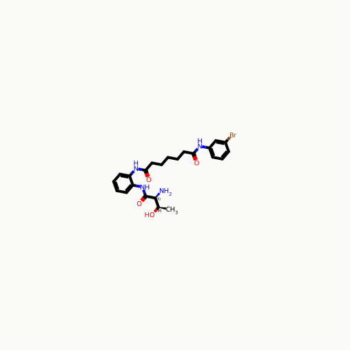 C[C@@H](O)[C@H](N)C(=O)Nc1ccccc1NC(=O)CCCCCC(=O)Nc1cccc(Br)c1